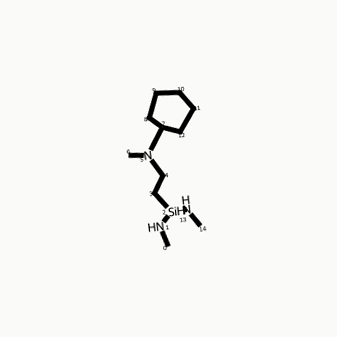 CN[SiH](CCN(C)C1CCCCC1)NC